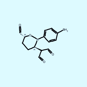 Bc1ccc(N2O[C@@H](C=O)CC[C@@H]2C(C=O)C=O)cc1